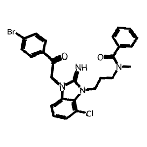 CN(CCCn1c(=N)n(CC(=O)c2ccc(Br)cc2)c2cccc(Cl)c21)C(=O)c1ccccc1